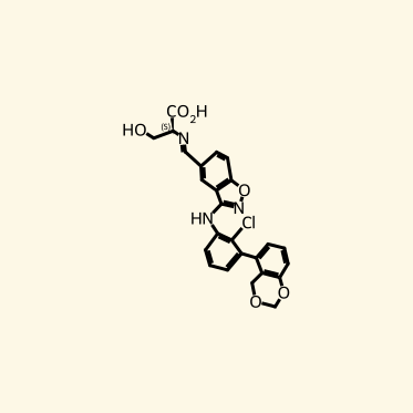 O=C(O)[C@H](CO)N=Cc1ccc2onc(Nc3cccc(-c4cccc5c4COCO5)c3Cl)c2c1